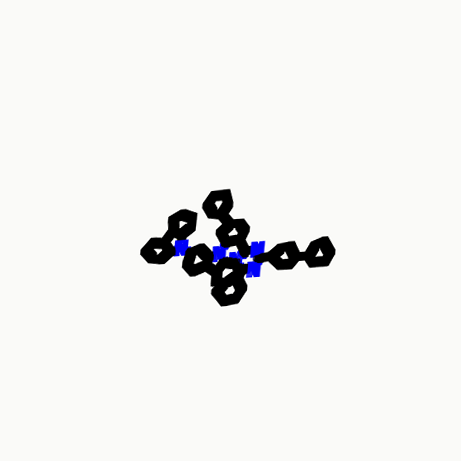 c1ccc(-c2ccc(-c3nc(-c4ccccc4)nc(-c4ccc(-c5ccccc5)cc4-n4c5ccccc5c5ccc(-n6c7ccccc7c7ccccc76)cc54)n3)cc2)cc1